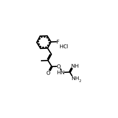 C/C(=C\c1ccccc1F)C(=O)ONC(=N)N.Cl